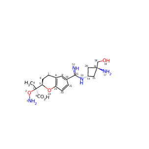 C[C@@](ON)(C(=O)O)[C@H]1CCc2cc(C(=N)N[C@H]3C[C@@](N)(CO)C3)ccc2O1